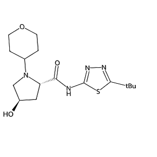 CC(C)(C)c1nnc(NC(=O)[C@@H]2C[C@@H](O)CN2C2CCOCC2)s1